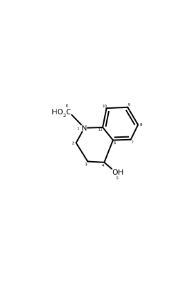 O=C(O)N1CCC(O)c2ccccc21